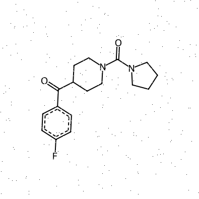 O=C(c1ccc(F)cc1)C1CCN(C(=O)N2CCCC2)CC1